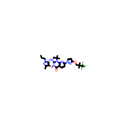 CCCn1cc(SNC(=O)c2ccc(-n3ccc(OCC(C)(C)C(F)(F)F)n3)nc2N2CNCC2(C)C)c(C)n1